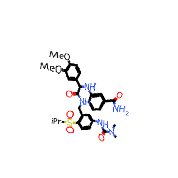 COc1ccc(C(Nc2cccc(C(N)=O)c2)C(=O)NCc2cc(NC(=O)N(C)C)ccc2S(=O)(=O)C(C)C)cc1OC